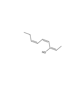 C\C=C(O)/C=C\C=C/CC